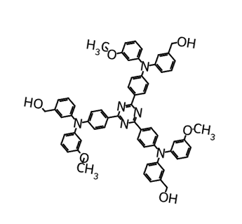 COc1cccc(N(c2ccc(-c3nc(-c4ccc(N(c5cccc(CO)c5)c5cccc(OC)c5)cc4)nc(-c4ccc(N(c5cccc(CO)c5)c5cccc(OC)c5)cc4)n3)cc2)c2cccc(CO)c2)c1